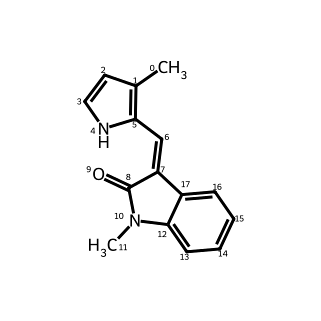 Cc1cc[nH]c1C=C1C(=O)N(C)c2ccccc21